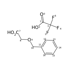 O=C(O)C(F)(F)F.O=C(O)COCc1ccccc1